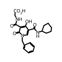 O=C(O)CNC(=O)c1c(O)c(C(=O)NC2CCCCC2)cn(Cc2ccccc2)c1=O